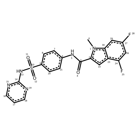 Cn1c(C(=O)Nc2ccc(S(=O)(=O)Nc3ncccn3)cc2)cc2c(F)cc(F)cc21